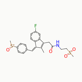 CC1=C(CC(=O)NCCS(C)(=O)=O)c2cc(F)ccc2/C1=C\c1ccc([S+](C)[O-])cc1